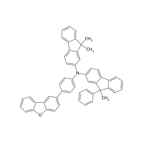 CC1(C)c2ccccc2-c2ccc(N(c3ccc(-c4ccc5oc6ccccc6c5c4)cc3)c3ccc4c(c3)C(C)(c3ccccc3)c3ccccc3-4)cc21